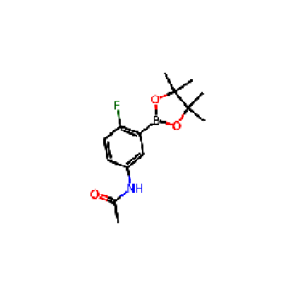 CC(=O)Nc1ccc(F)c(B2OC(C)(C)C(C)(C)O2)c1